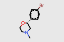 CN1CCO[C@H](c2ccc(Br)cc2)C1